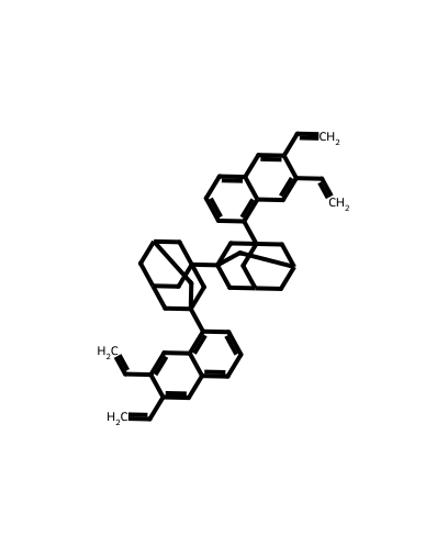 C=Cc1cc2cccc(C34CC5CC(C3)CC(C36CC7CC(CC(c8cccc9cc(C=C)c(C=C)cc89)(C7)C3)C6)(C5)C4)c2cc1C=C